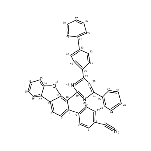 N#Cc1ccc(-c2ccc3c(oc4ccccc43)c2-c2nc(-c3ccccc3)nc(-c3ccc(-c4ccccc4)cc3)n2)cc1